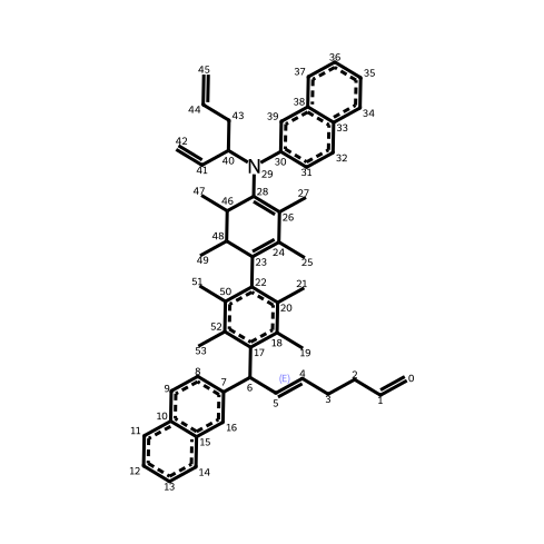 C=CCC/C=C/C(c1ccc2ccccc2c1)c1c(C)c(C)c(C2=C(C)C(C)=C(N(c3ccc4ccccc4c3)C(C=C)CC=C)C(C)C2C)c(C)c1C